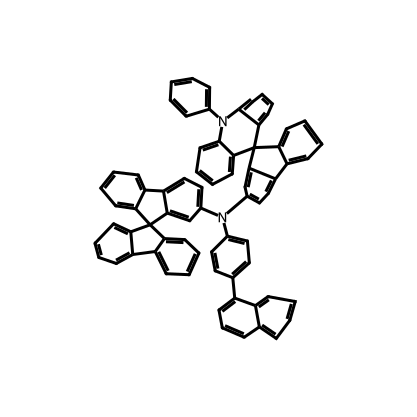 c1ccc(N2c3ccccc3C3(c4ccccc4-c4ccc(N(c5ccc(-c6cccc7ccccc67)cc5)c5ccc6c(c5)C5(c7ccccc7-c7ccccc75)c5ccccc5-6)cc43)c3ccccc32)cc1